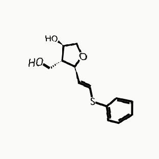 OC[C@H]1[C@H](C=CSc2ccccc2)OC[C@@H]1O